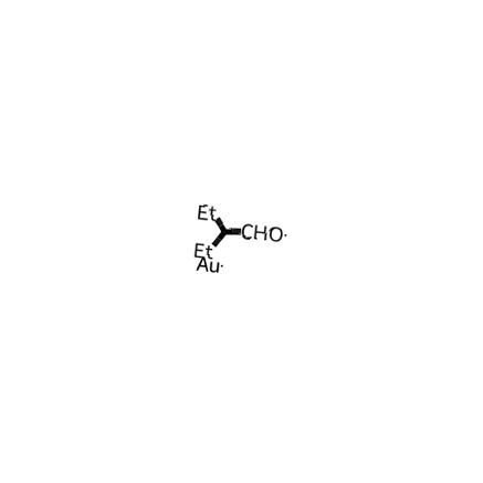 CCC([C]=O)CC.[Au]